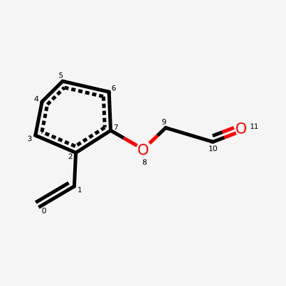 C=Cc1ccccc1OCC=O